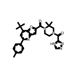 Cc1ccc(-c2cc(C(C)(C)C)c3oc(C(=O)N4CCN(C(=O)c5nnc[nH]5)CC4(C)C)cc3n2)cc1